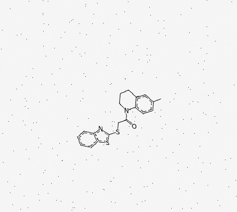 Cc1ccc2c(c1)CCCN2C(=O)CSc1nc2ccccc2s1